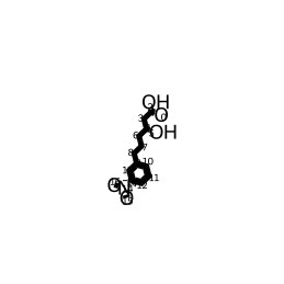 O=C(O)CC(O)CCCc1cccc([N+](=O)[O-])c1